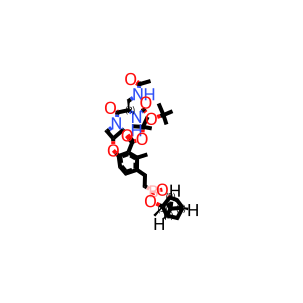 CC(=O)NC[C@@H](NC(=O)OC(C)(C)C)C(=O)N1CC(Oc2ccc(CCB3O[C@@H]4C[C@@H]5C[C@@H](C5(C)C)[C@]4(C)O3)c(C)c2C(=O)OC(C)(C)C)C1